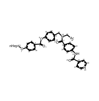 CCCCCCCOc1ccc(C(=O)Oc2ccc(CN(CC(C)=O)C(=O)c3ccc(NC(=O)c4ccncc4)cc3)cc2)cc1